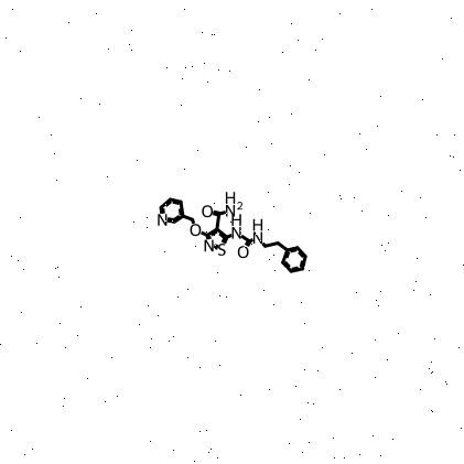 NC(=O)c1c(OCc2cccnc2)nsc1NC(=O)NCCc1ccccc1